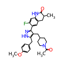 COc1ccc(Cc2[nH]nc(-c3cc4c(cc3F)NC(=O)C(C)C4)c2CC2CCN(C(C)=O)CC2)cc1